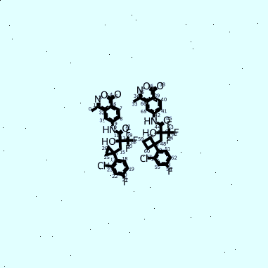 Cc1noc(=O)c2ccc(NC(=O)C(O)(CC3(c4ccc(F)cc4Cl)CC3)C(F)(F)F)cc12.Cc1noc(=O)c2ccc(NC(=O)C(O)(CC3(c4ccc(F)cc4Cl)CCC3)C(F)(F)F)cc12